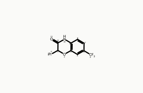 CC(C)C1Oc2cc(C(F)(F)F)ccc2NC1=O